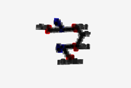 CCCCCCCCCOC(=O)CCCCCCCN(CCCCCCCC(=O)OC(CCCCCCCC)CCCCC(CCC)CCCCCCC(CCCCCCCC)C(=O)OCCCCCCN(CCCCCCOC(=O)C(CCCCCC)CCCCCCCC)Cc1nccn1C)CCCn1ccnc1